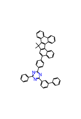 CC1(C)c2cc(-c3ccc(-c4nc(-c5ccccc5)nc(-c5cccc(-c6ccccc6)c5)n4)cc3)c3ccccc3c2-c2c1c1ccccc1c1ccccc21